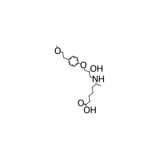 COCCc1ccc(OCC(O)CNC(C)CCCCC(=O)O)cc1